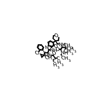 CCNC(=O)[C@H](NC(=O)C1(c2ccc3nc([C@@H](NC(=O)C(C)C)[C@H](c4ccccc4Cl)C4(C)CC4)[nH]c3c2)CCOCC1)C(C)(C)C